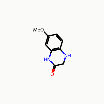 COc1ccc2c(c1)NC(=O)CN2